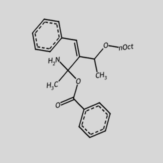 CCCCCCCCOC(C)C(=Cc1ccccc1)C(C)(N)OC(=O)c1ccccc1